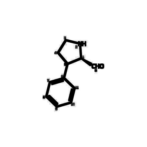 O=C[C@@H]1NCCC1c1ccccc1